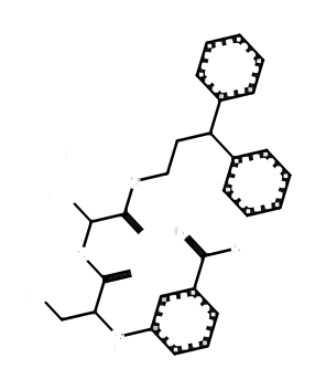 CC(NC(=O)C(CO)Nc1cccc(C(=N)N)c1)C(=O)NCCC(c1ccccc1)c1ccccc1.Cl